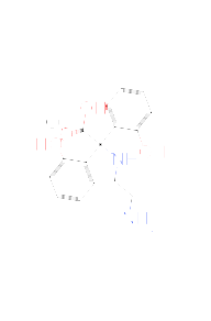 NCCNC(C(=O)O)(c1ccccc1O)c1ccccc1O.[Cu]